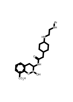 CC(C)NCCNC1CCC(CC(=O)NC2Cc3cccc(C(=O)O)c3OB2O)CC1